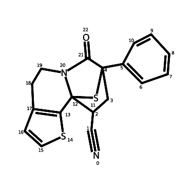 N#CC1CC2(c3ccccc3)SC13c1sccc1CCN3C2=O